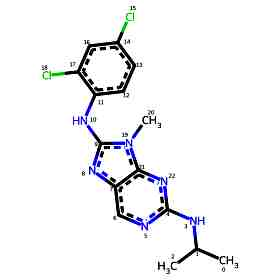 CC(C)Nc1ncc2nc(Nc3ccc(Cl)cc3Cl)n(C)c2n1